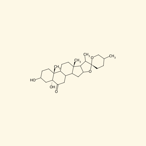 CC1CC[C@@]2(OC1)OC1CC3C4CC(=O)[C@@]5(O)CC(O)CC[C@]5(C)C4CC[C@]3(C)C1C2C